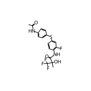 CC(=O)Nc1ccc(Sc2ccc(NC(=O)C(C)(O)C(F)(F)F)c(F)c2)cc1